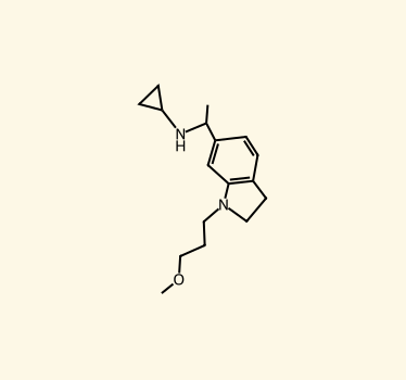 COCCCN1CCc2ccc(C(C)NC3CC3)cc21